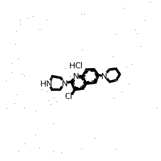 Cl.Clc1cc2cc(N3CCCCC3)ccc2nc1N1CCNCC1